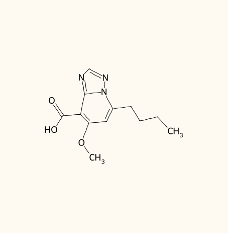 CCCCc1cc(OC)c(C(=O)O)c2ncnn12